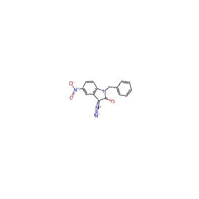 [N-]=[N+]=C1C(=O)N(Cc2ccccc2)c2ccc([N+](=O)[O-])cc21